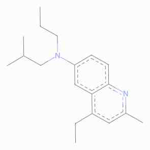 CCCN(CC(C)C)c1ccc2nc(C)cc(CC)c2c1